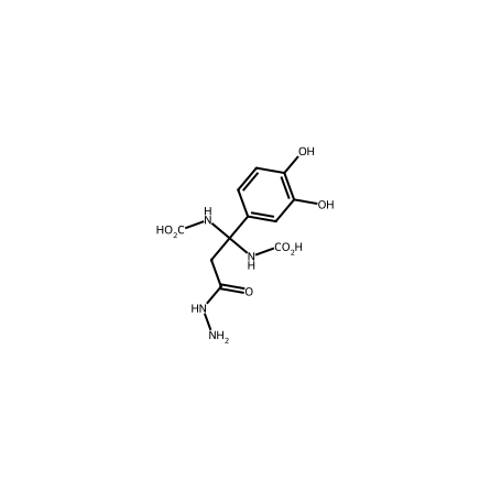 NNC(=O)CC(NC(=O)O)(NC(=O)O)c1ccc(O)c(O)c1